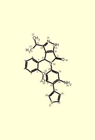 COc1ccccc1C1c2c(C(C)C)n[nH]c2C(=O)N1c1ccc(-c2ccsc2)c(N)c1